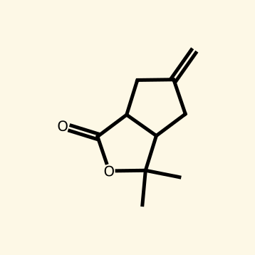 C=C1CC2C(=O)OC(C)(C)C2C1